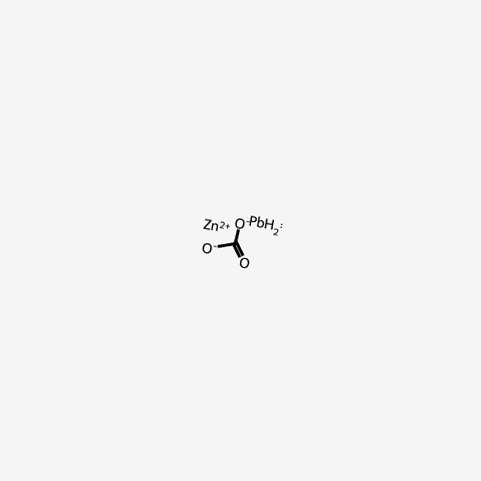 O=C([O-])[O-].[PbH2].[Zn+2]